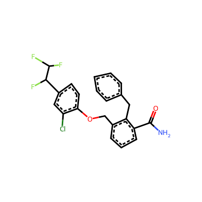 NC(=O)c1cccc(COc2ccc(C(F)C(F)F)cc2Cl)c1Cc1ccccc1